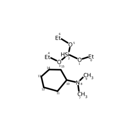 CCO[SiH](OCC)OCC.CN(C)C1CCCCC1